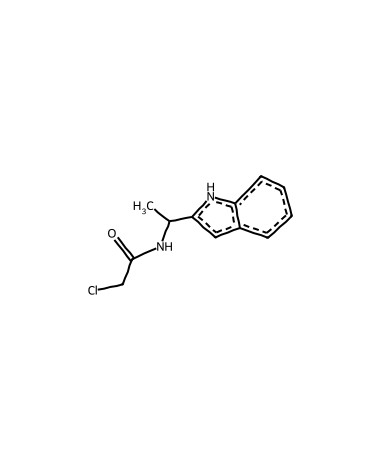 CC(NC(=O)CCl)c1cc2ccccc2[nH]1